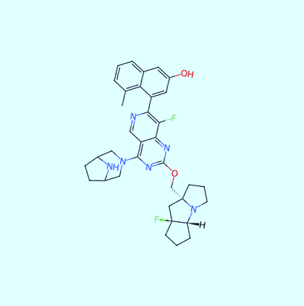 Cc1cccc2cc(O)cc(-c3ncc4c(N5CC6CCC(C5)N6)nc(OC[C@]56CCCN5[C@@H]5CCC[C@]5(F)C6)nc4c3F)c12